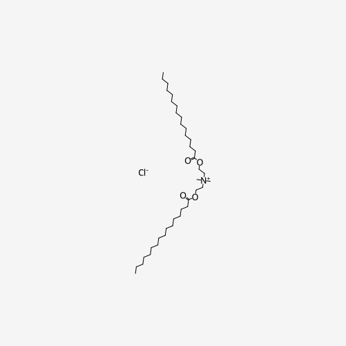 CCCCCCCCCCCCCCCC(=O)OCC[N+](C)(C)CCOC(=O)CCCCCCCCCCCCCCC.[Cl-]